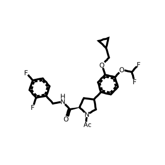 CC(=O)N1CC(c2ccc(OC(F)F)c(OCC3CC3)c2)C[C@@H]1C(=O)NCc1ccc(F)cc1F